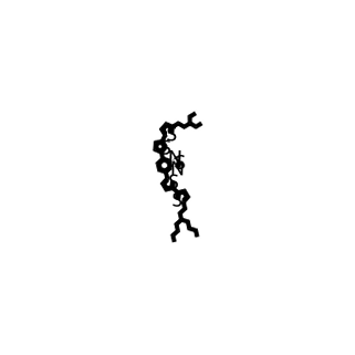 CCCCC(CCCC)CCc1ccc(-c2ccc(-c3ccc(-c4ccc(-c5ccc(CCC(CC)CC)s5)s4)c4nsnc34)s2)s1